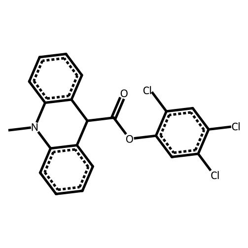 CN1c2ccccc2C(C(=O)Oc2cc(Cl)c(Cl)cc2Cl)c2ccccc21